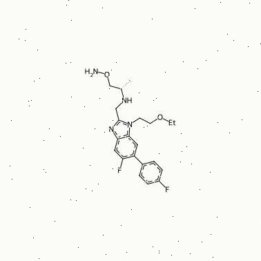 CCOCCn1c(CN[C@@H](C)CON)nc2cc(F)c(-c3ccc(F)cc3)cc21